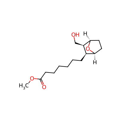 COC(=O)CCCCCC[C@H]1[C@@H](CO)[C@H]2CC[C@@H]1O2